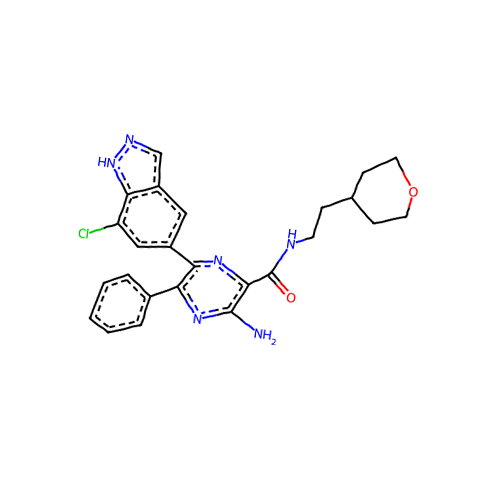 Nc1nc(-c2ccccc2)c(-c2cc(Cl)c3[nH]ncc3c2)nc1C(=O)NCCC1CCOCC1